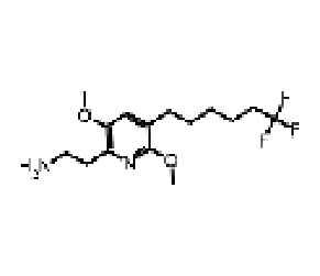 COc1cc(CCCCCC(F)(F)F)c(OC)nc1CCN